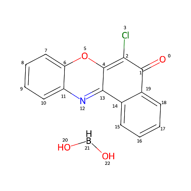 O=c1c(Cl)c2oc3ccccc3nc-2c2ccccc12.OBO